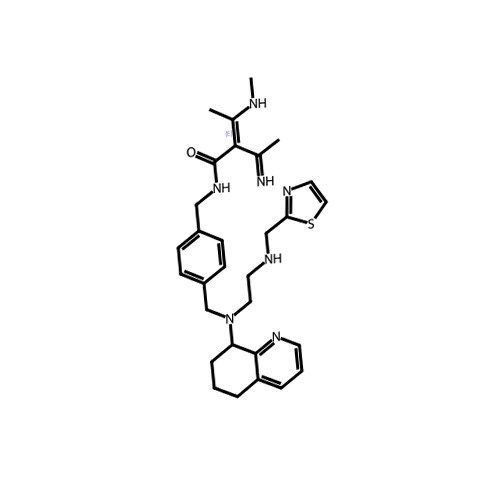 CN/C(C)=C(\C(C)=N)C(=O)NCc1ccc(CN(CCNCc2nccs2)C2CCCc3cccnc32)cc1